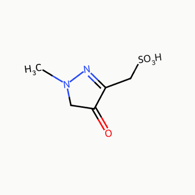 CN1CC(=O)C(CS(=O)(=O)O)=N1